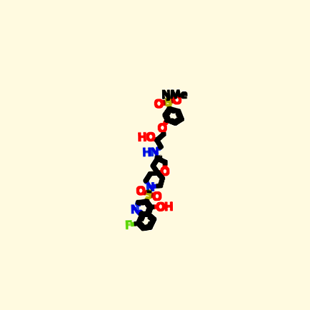 CNS(=O)(=O)c1cccc(OCC(O)CN[C@H]2COC3(CCN(S(=O)(=O)c4cnc5c(F)cccc5c4O)CC3)C2)c1